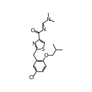 CC(C)COc1ccc(Cl)cc1Cc1nc(C(=O)/N=C/N(C)C)cs1